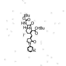 C[n+]1cccc(N2CC/C(=C\C3=C(C(=O)OC(C)(C)C)N4C(=O)[C@@H](NC(=O)OC(C)(C)C)[C@H]4CC3)C2=O)c1.[I-]